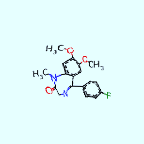 COc1cc2c(cc1OC)N(C)C(=O)CN=C2c1ccc(F)cc1